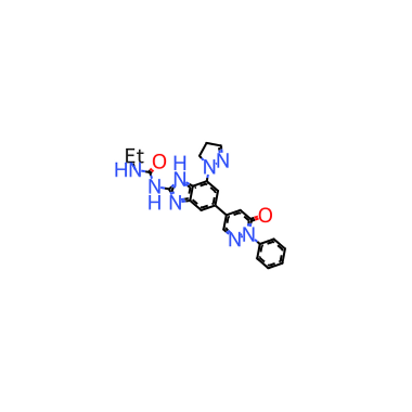 CCNC(=O)Nc1nc2cc(-c3cnn(-c4ccccc4)c(=O)c3)cc(N3CCC=N3)c2[nH]1